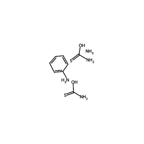 N.NC(O)=S.NC(O)=S.Nc1ccccc1